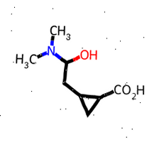 CN(C)C(O)CC1CC1C(=O)O